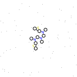 c1ccc(N(c2cccc(N(c3ccccc3)c3ccc4c(c3)sc3ccccc34)c2)c2cccc(N(c3ccccc3)c3ccc4c(c3)sc3ccccc34)c2)cc1